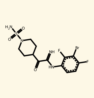 N=C(Nc1ccc(F)c(Br)c1F)C(=O)C1CCN(S(N)(=O)=O)CC1